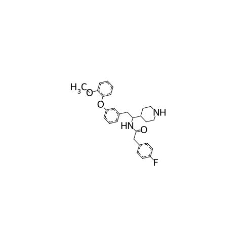 COc1ccccc1Oc1cccc(CC(NC(=O)Cc2ccc(F)cc2)C2CCNCC2)c1